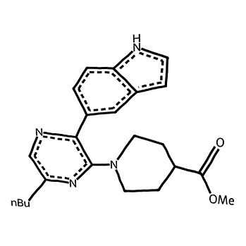 CCCCc1cnc(-c2ccc3[nH]ccc3c2)c(N2CCC(C(=O)OC)CC2)n1